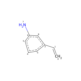 C=Cc1[c]ccc(N)c1